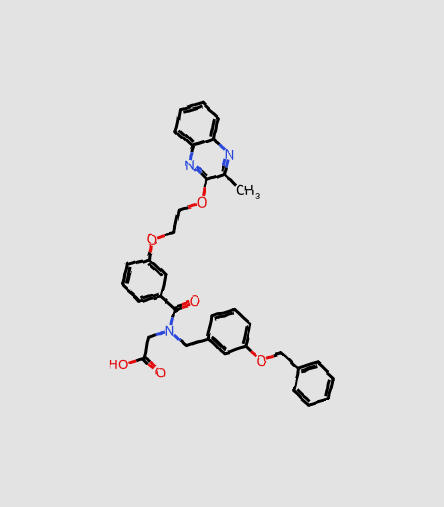 Cc1nc2ccccc2nc1OCCOc1cccc(C(=O)N(CC(=O)O)Cc2cccc(OCc3ccccc3)c2)c1